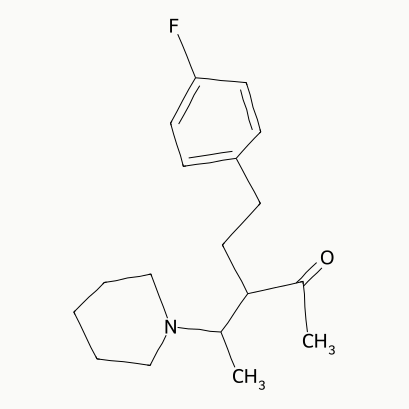 CC(=O)C(CCc1ccc(F)cc1)C(C)N1CCCCC1